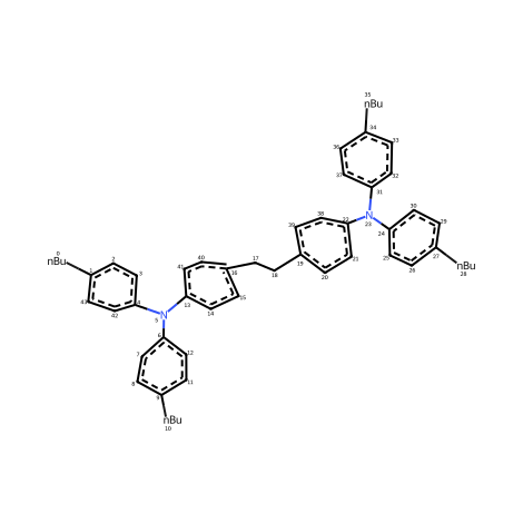 CCCCc1ccc(N(c2ccc(CCCC)cc2)c2ccc(CCc3ccc(N(c4ccc(CCCC)cc4)c4ccc(CCCC)cc4)cc3)cc2)cc1